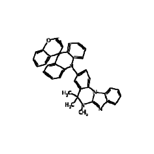 CN1c2nc3ccccc3n2-c2ccc(N3c4ccccc4C4(c5ccccc5Oc5ccccc54)c4ccccc43)cc2C1(C)C